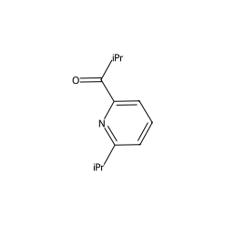 CC(C)C(=O)c1cccc(C(C)C)n1